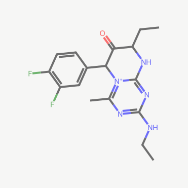 CCNc1nc(C)[n+]2c(n1)NC(CC)C(=O)C2c1ccc(F)c(F)c1